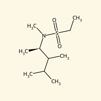 CCS(=O)(=O)N(C)[C@H](C)C(C)C(C)C